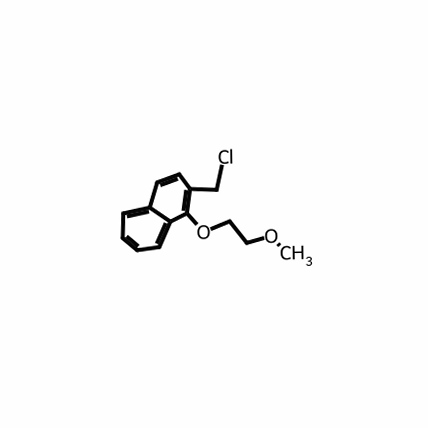 COCCOc1c(CCl)ccc2ccccc12